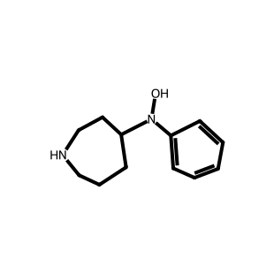 ON(c1ccccc1)C1CCCNCC1